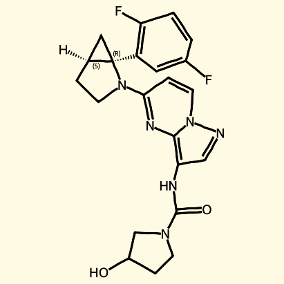 O=C(Nc1cnn2ccc(N3CC[C@H]4C[C@]43c3cc(F)ccc3F)nc12)N1CCC(O)C1